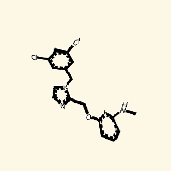 CNc1cccc(OCc2nccn2Cc2cc(Cl)cc(Cl)c2)n1